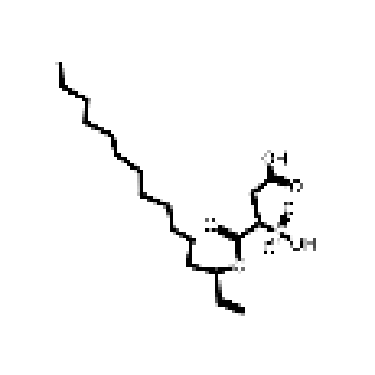 C=CC(CCCCCCCCCCCC)OC(=O)C(CC(=O)O)S(=O)(=O)O